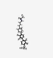 CCCCCOc1ccc(-c2ccc(C3CCC(CCC/C=C(\F)CF)CC3)c(F)c2F)c(F)c1F